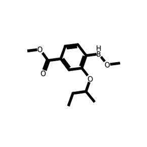 CCC(C)Oc1cc(C(=O)OC)ccc1BOC